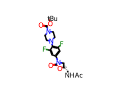 CC(=O)NC[C@H]1CN(c2cc(F)c(N3CCN(C(=O)OC(C)(C)C)CC3)c(F)c2)C(=O)O1